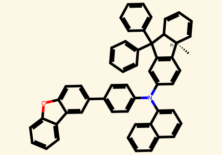 C[C@@]12C=CC=CC1C(c1ccccc1)(c1ccccc1)c1cc(N(c3ccc(-c4ccc5oc6ccccc6c5c4)cc3)c3cccc4ccccc34)ccc12